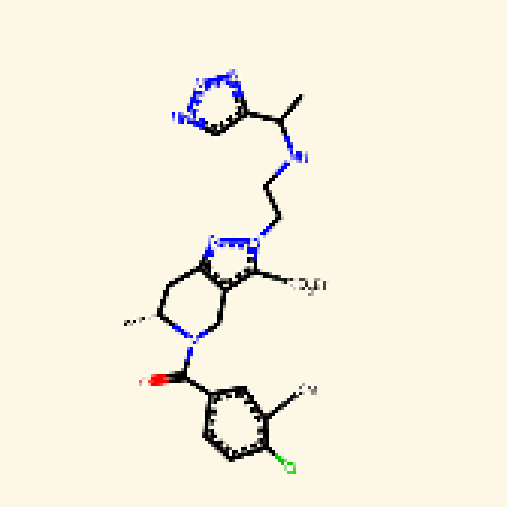 CCOC(=O)c1c2c(nn1CCNC(C)c1c[nH]nn1)C[C@@H](C)N(C(=O)c1ccc(Cl)c(C#N)c1)C2